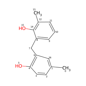 Cc1ccc(O)c(Cc2cccc(C)c2O)c1